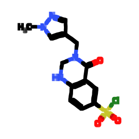 Cn1cc(CN2CNc3ccc(S(=O)(=O)Cl)cc3C2=O)cn1